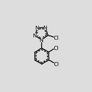 Clc1cccc(-n2nnnc2Cl)c1Cl